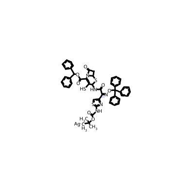 CC(C)(C)OC(=O)Nc1nc(/C(=N/OC(c2ccccc2)(c2ccccc2)c2ccccc2)C(=O)NC2SC3CC(=O)N3C(C(=O)OC(c3ccccc3)c3ccccc3)=C2S)cs1.[Ag]